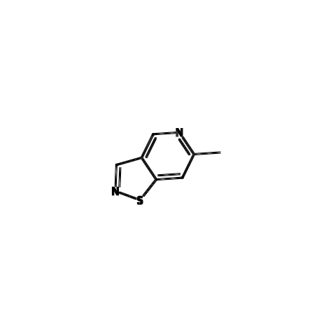 Cc1cc2sncc2cn1